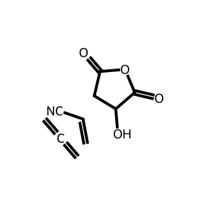 C=C=C.C=CC#N.O=C1CC(O)C(=O)O1